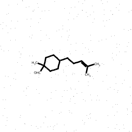 CC(C)=CCCC1CCC(C)(C=O)CC1